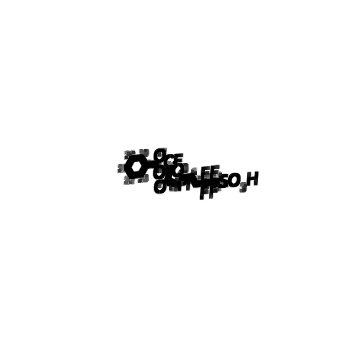 CC(C)C(=O)C(OCCCC(F)(F)C(F)(F)S(=O)(=O)O)(OC(=O)C1CCCCC1)C(F)(F)F